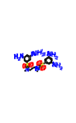 CN(CCN(C)S(=O)(=O)c1cc(N)cc(N)c1)S(=O)(=O)c1cc(N)cc(N)c1